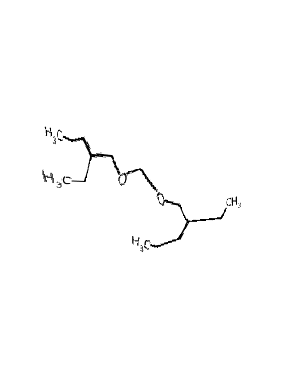 CCC(CC)COCOCC(CC)CC